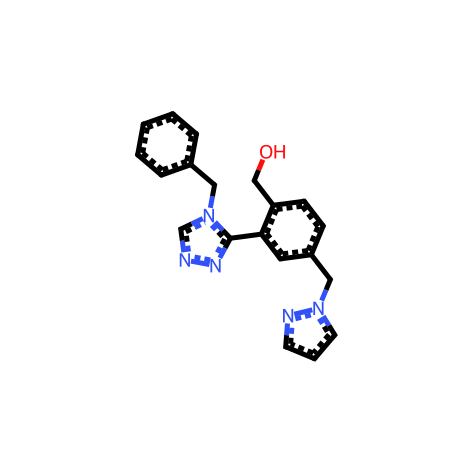 OCc1ccc(Cn2cccn2)cc1-c1nncn1Cc1ccccc1